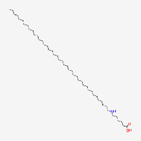 CCCCCCCCCCCCCCCCCCCCCCCCCCCCCCCCCCCCCCCCCNCCCCCC(=O)O